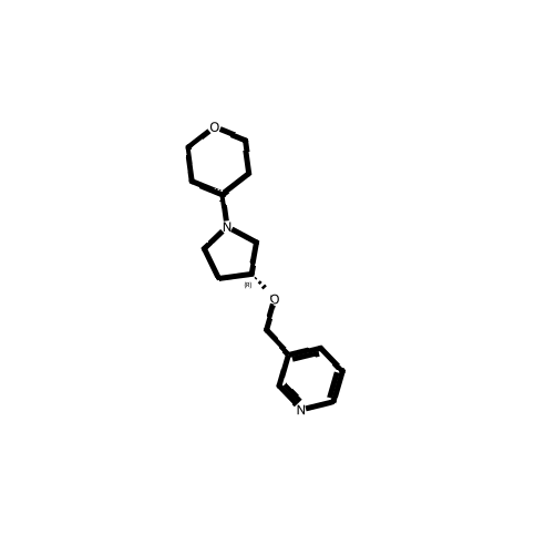 c1cncc(CO[C@@H]2CCN(C3CCOCC3)C2)c1